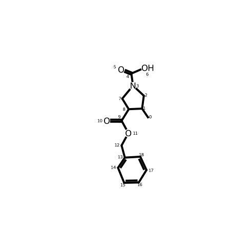 CC1CN(C(=O)O)CC1C(=O)OCc1ccccc1